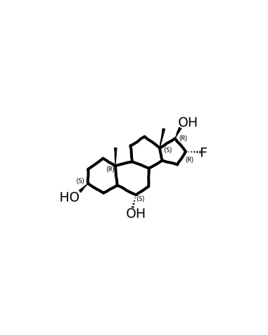 C[C@]12CC[C@H](O)CC1[C@@H](O)CC1C2CC[C@@]2(C)C1C[C@@H](F)[C@@H]2O